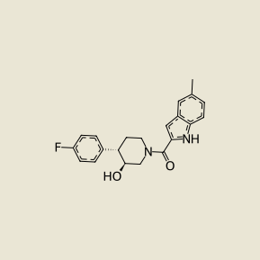 Cc1ccc2[nH]c(C(=O)N3CC[C@@H](c4ccc(F)cc4)[C@H](O)C3)cc2c1